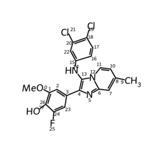 COc1cc(-c2nc3cc(C)ccn3c2Nc2ccc(Cl)c(Cl)c2)cc(F)c1O